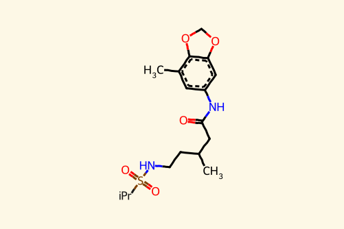 Cc1cc(NC(=O)CC(C)CCNS(=O)(=O)C(C)C)cc2c1OCO2